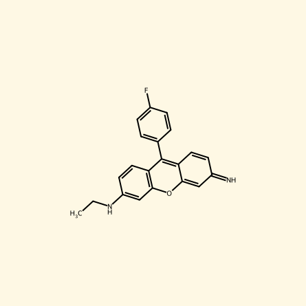 CCNc1ccc2c(-c3ccc(F)cc3)c3ccc(=N)cc-3oc2c1